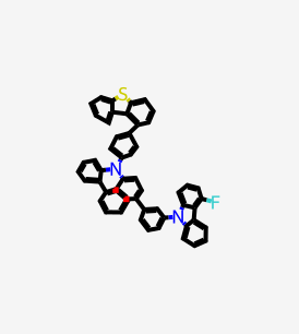 Fc1cccc2c1c1ccccc1n2-c1cccc(-c2ccc(N(c3ccc(-c4cccc5sc6ccccc6c45)cc3)c3ccccc3-c3ccccc3)cc2)c1